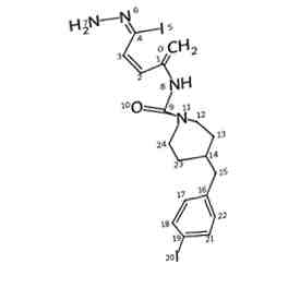 C=C(/C=C\C(I)=N/N)NC(=O)N1CCC(Cc2ccc(I)cc2)CC1